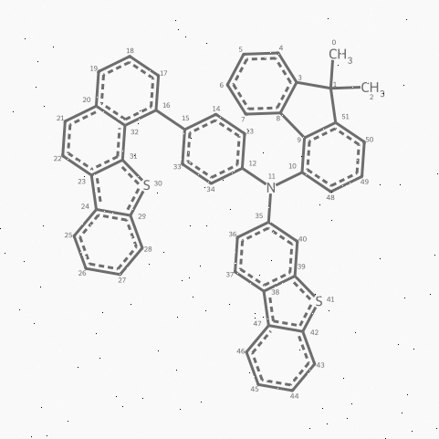 CC1(C)c2ccccc2-c2c(N(c3ccc(-c4cccc5ccc6c7ccccc7sc6c45)cc3)c3ccc4c(c3)sc3ccccc34)cccc21